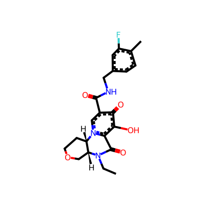 CCN1C(=O)c2c(O)c(=O)c(C(=O)NCc3ccc(C)c(F)c3)cn2[C@H]2CCOC[C@H]21